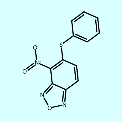 O=[N+]([O-])c1c(Sc2ccccc2)ccc2nonc12